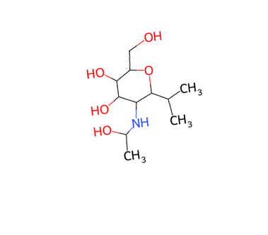 CC(O)NC1C(O)C(O)C(CO)OC1C(C)C